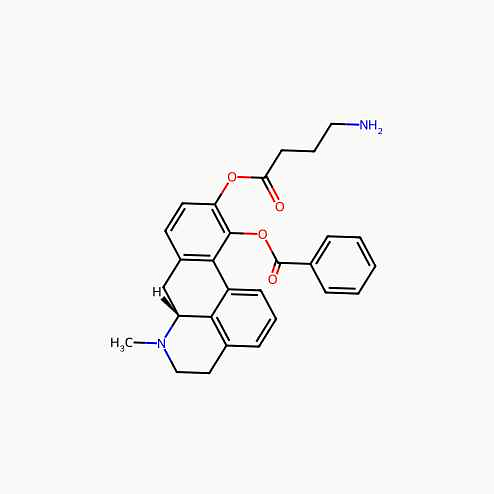 CN1CCc2cccc3c2[C@H]1Cc1ccc(OC(=O)CCCN)c(OC(=O)c2ccccc2)c1-3